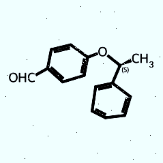 C[C@H](Oc1ccc(C=O)cc1)c1ccccc1